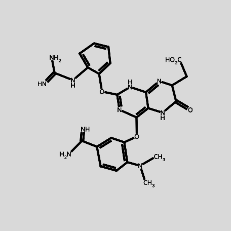 CN(C)c1ccc(C(=N)N)cc1OC1=C2NC(=O)C(CC(=O)O)N=C2NC(Oc2ccccc2NC(=N)N)=N1